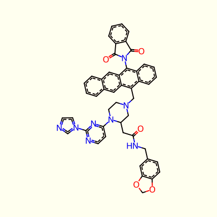 O=C(CC1CN(Cc2c3ccccc3c(N3C(=O)c4ccccc4C3=O)c3cc4ccccc4cc23)CCN1c1ccnc(-n2ccnc2)n1)NCc1ccc2c(c1)OCO2